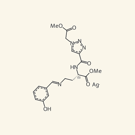 COC(=O)Cn1cc(C(=O)N[C@@H](CCN=Cc2cccc(O)c2)C(=O)OC)nn1.[Ag]